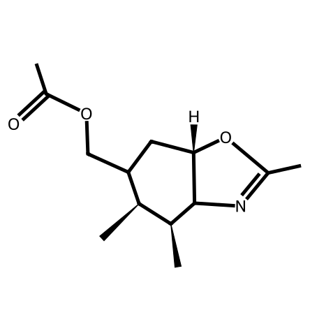 CC(=O)OCC1C[C@@H]2OC(C)=NC2[C@@H](C)[C@H]1C